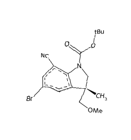 COC[C@@]1(C)CN(C(=O)OC(C)(C)C)c2c(C#N)cc(Br)cc21